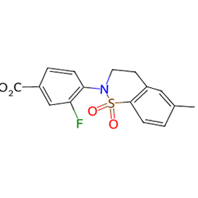 Cc1ccc2c(c1)CCN(c1ccc(C(=O)O)cc1F)S2(=O)=O